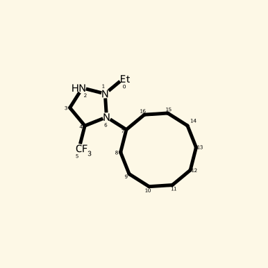 CCN1NCC(C(F)(F)F)N1C1CCCCCCCCC1